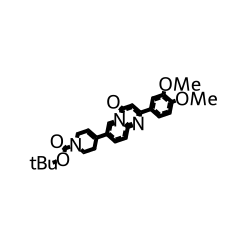 COc1ccc(-c2cc(=O)n3cc(C4=CCN(C(=O)OC(C)(C)C)CC4)ccc3n2)cc1OC